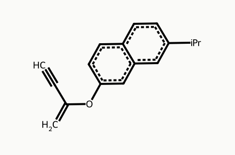 C#CC(=C)Oc1ccc2ccc(C(C)C)cc2c1